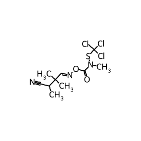 CC(C#N)C(C)(C)/C=N/OC(=O)N(C)SC(Cl)(Cl)Cl